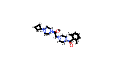 Cc1cccc(C)c1C(=O)N1CCN(CC(=O)N2CCN(C3CCC3)CC2)CC1